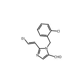 CCC=Cc1ncc(C=O)n1Cc1ccccc1Cl